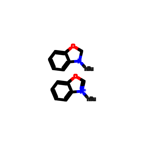 CCCCN1COc2ccccc21.CCCC[n+]1coc2ccccc21